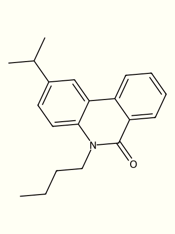 CCCCn1c(=O)c2ccccc2c2cc(C(C)C)ccc21